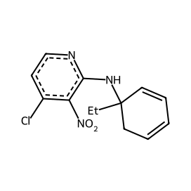 CCC1(Nc2nccc(Cl)c2[N+](=O)[O-])C=CC=CC1